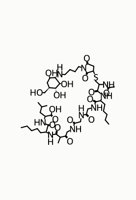 CCCCCC(NC(=O)C(CSC1CC(=O)N(CCCCN[C@H]2C(O)C[C@H](CO)[C@@H](O)[C@@H]2O)C1=O)NC(C)=O)C(=O)NCC(=O)NCC(=O)NCC(=O)C(C)C(=O)NC(CCCCC)C(=O)NC(CC(C)C)C(=O)O